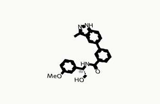 COc1cccc([C@@H](CO)NC(=O)c2cccc(-c3ccc4[nH]nc(C)c4c3)c2)c1